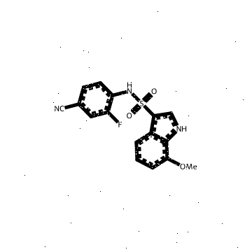 COc1cccc2c(S(=O)(=O)Nc3ccc(C#N)cc3F)c[nH]c12